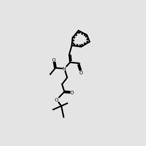 CC(=O)N(CCC(=O)OC(C)(C)C)C([C]=O)=Cc1ccccc1